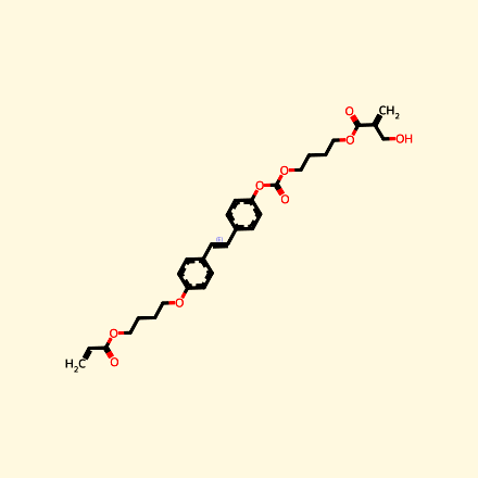 C=CC(=O)OCCCCOc1ccc(/C=C/c2ccc(OC(=O)OCCCCOC(=O)C(=C)CO)cc2)cc1